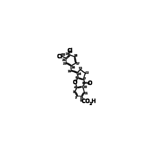 O=C(O)c1ccc2oc3c(c(=O)c2c1)CCC3=Cc1ccc(Cl)c(Cl)c1